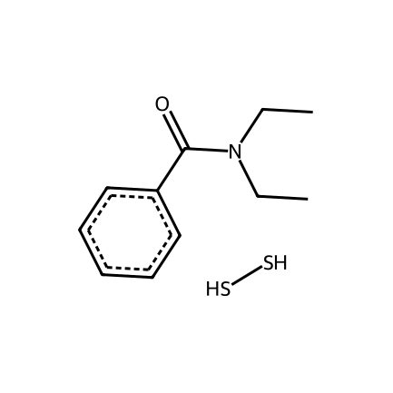 CCN(CC)C(=O)c1ccccc1.SS